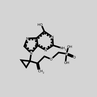 C=C(COCP(=O)(O)O)C1(n2cnc3c(O)nc(N)nc32)CC1